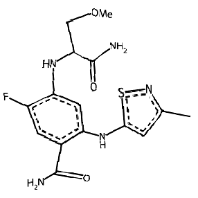 COCC(Nc1cc(Nc2cc(C)ns2)c(C(N)=O)cc1F)C(N)=O